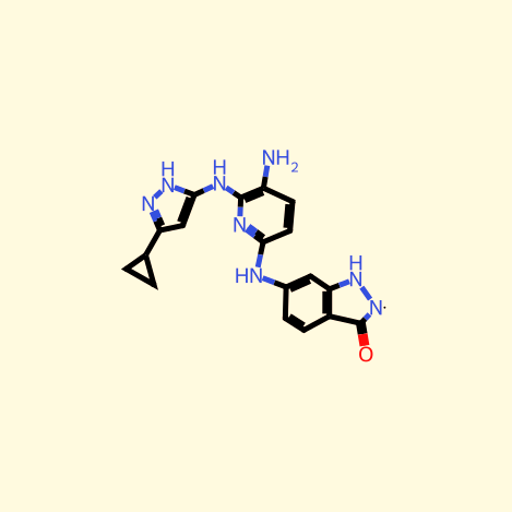 Nc1ccc(Nc2ccc3c(c2)N[N]C3=O)nc1Nc1cc(C2CC2)n[nH]1